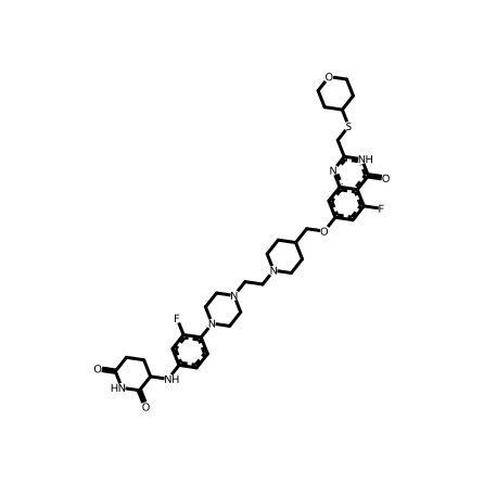 O=C1CCC(Nc2ccc(N3CCN(CCN4CCC(COc5cc(F)c6c(=O)[nH]c(CSC7CCOCC7)nc6c5)CC4)CC3)c(F)c2)C(=O)N1